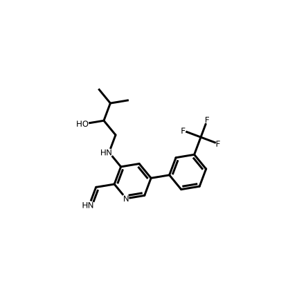 CC(C)C(O)CNc1cc(-c2cccc(C(F)(F)F)c2)cnc1C=N